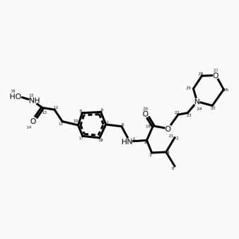 CC(C)CC(NCc1ccc(CCC(=O)NO)cc1)C(=O)OCCN1CCOCC1